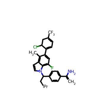 C=C(N)c1ccc(C(CC(C)C)n2ccc3c(C)c(C4=CC=C(C(F)(F)F)CC4Cl)cc(F)c32)cc1